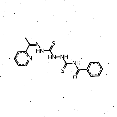 CC(=NNC(=S)NNC(=S)NC(=O)c1ccccc1)c1ccccn1